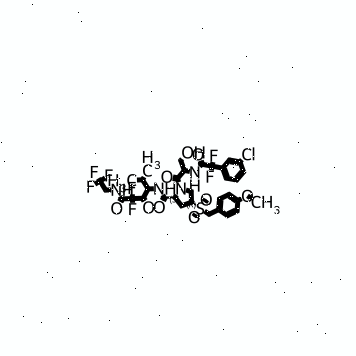 COc1ccc(CS(=O)(=O)[C@@H]2C[C@@H](C(=O)NC(C(=O)C(F)(F)C(=O)NCC(F)(F)F)C(C)C)N(C(=O)C(CO)NC(=O)C(F)(F)c3cccc(Cl)c3)C2)cc1